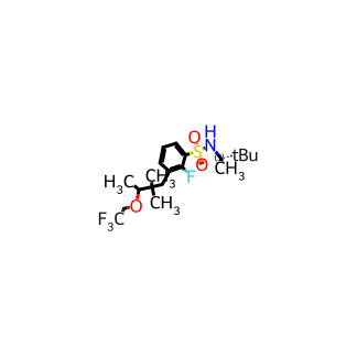 CC(OCC(F)(F)F)C(C)(C)Cc1cccc(S(=O)(=O)N[C@@H](C)C(C)(C)C)c1F